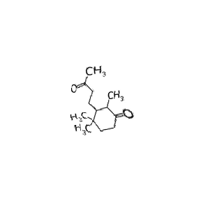 CC(=O)CCC1C(C)C(=O)CCC1(C)C